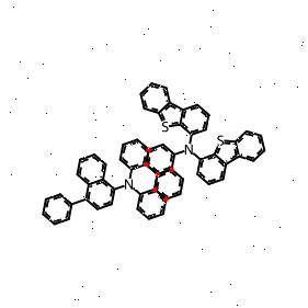 c1ccc(-c2ccccc2N(c2ccccc2-c2cccc(N(c3cccc4c3sc3ccccc34)c3cccc4c3sc3ccccc34)c2)c2ccc(-c3ccccc3)c3ccccc23)cc1